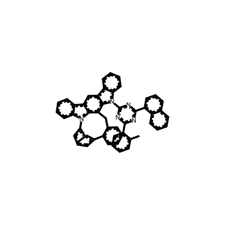 Cc1ccccc1-c1nc(-c2cccc3ccccc23)nc(-n2c3ccccc3c3cc4c5ccccc5n5c4c(c32)Cc2ccccc2-c2cccc-5c2C)n1